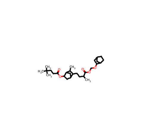 CC(CCC1C2CC(OC(=O)CCC(C)(C)C)C(C2)C1C)C(=O)OCOC1CC2CCC1C2